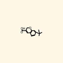 CC(C)(C)c1ccc2c(c1)OCC(C(=O)O)=C2